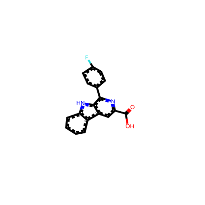 O=C(O)c1cc2c([nH]c3ccccc32)c(-c2ccc(F)cc2)n1